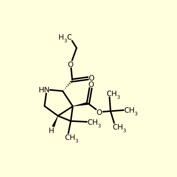 CCOC(=O)[C@H]1NC[C@H]2C(C)(C)[C@@]12C(=O)OC(C)(C)C